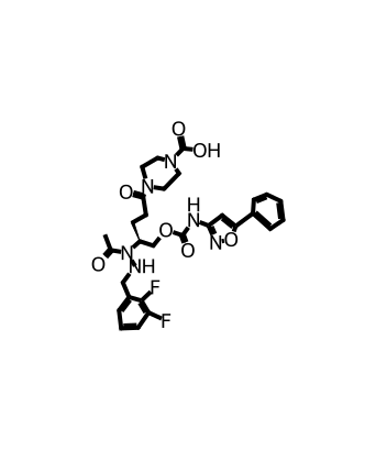 CC(=O)N(NCc1cccc(F)c1F)[C@@H](CCC(=O)N1CCN(C(=O)O)CC1)COC(=O)Nc1cc(-c2ccccc2)on1